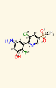 CS(=O)(=O)c1cnc(-c2cc(N)cc(O)c2F)c(Cl)c1